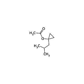 CC(=O)OC1(CC(C)C)CC1